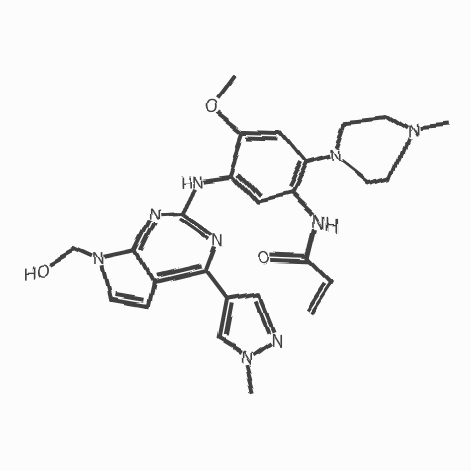 C=CC(=O)Nc1cc(Nc2nc(-c3cnn(C)c3)c3ccn(CO)c3n2)c(OC)cc1N1CCN(C)CC1